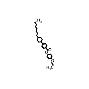 CCCCCCCCC1CCC(c2ccc(C(=O)Oc3ccc(OCCC)cc3)cc2)CC1